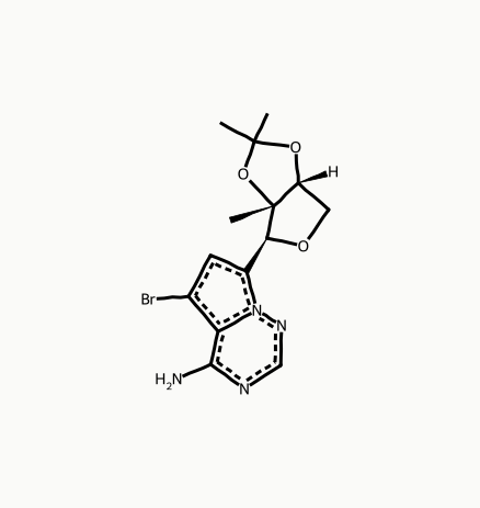 CC1(C)O[C@@H]2CO[C@@H](c3cc(Br)c4c(N)ncnn34)[C@]2(C)O1